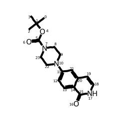 CC(C)(C)OC(=O)N1CCN(c2ccc3c(=O)[nH]ccc3c2)CC1